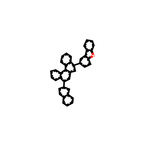 c1ccc2cc(-c3cc4cc(-c5ccc6oc7ccccc7c6c5)c5ccccc5c4c4ccccc34)ccc2c1